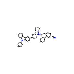 N#Cc1ccc2cc(-n3c4ccccc4c4cc(-c5ccc6c(c5)c5ccccc5n6-c5ccccc5)ccc43)c3ccccc3c2c1